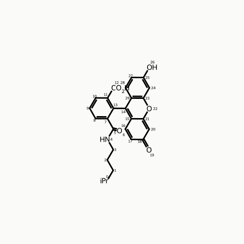 CC(C)CCCNC(=O)c1cccc(C(=O)O)c1-c1c2ccc(=O)cc-2oc2cc(O)ccc12